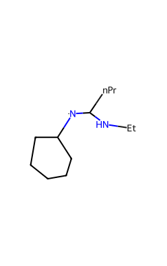 CCCC([N]C1CCCCC1)NCC